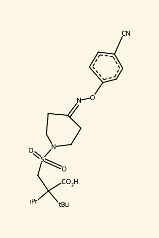 CC(C)C(CS(=O)(=O)N1CCC(=NOc2ccc(C#N)cc2)CC1)(C(=O)O)C(C)(C)C